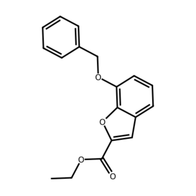 CCOC(=O)c1cc2cccc(OCc3ccccc3)c2o1